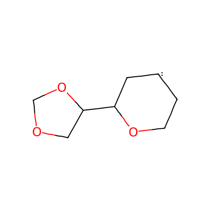 [C]1CCOC(C2COCO2)C1